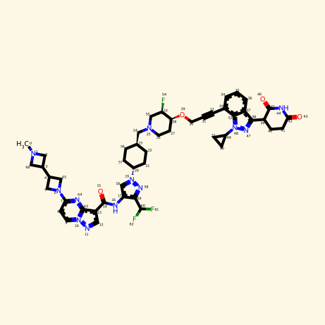 CN1CC(C2CN(c3ccn4ncc(C(=O)Nc5cn([C@H]6CC[C@H](CN7CC[C@H](OCC#Cc8cccc9c(C%10CCC(=O)NC%10=O)nn(C%10CC%10)c89)[C@H](F)C7)CC6)nc5C(F)F)c4n3)C2)C1